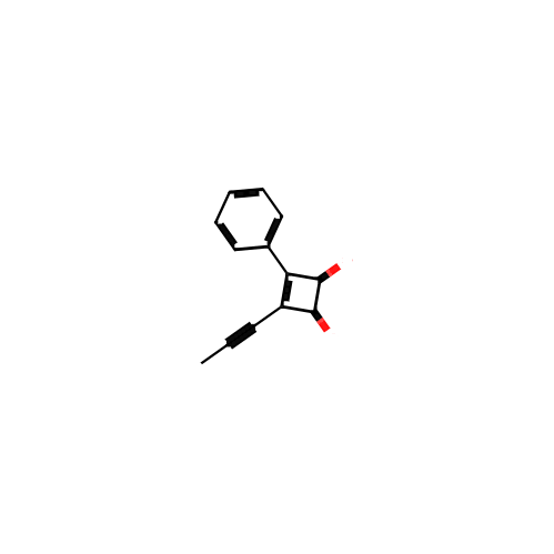 CC#Cc1c(-c2ccccc2)c(=O)c1=O